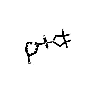 Nc1cccc(S(=O)(=O)N2CC(F)(F)C(F)(F)C2)c1